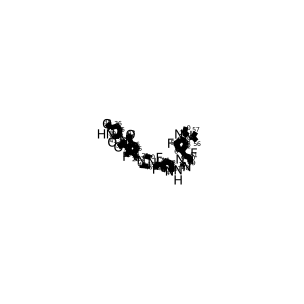 Cc1nc2c(F)cc(-c3nc(Nc4ccc(C(F)(F)N5CCN(Cc6ccc7c(c6F)C(=O)N(C6CCC(=O)NC6=O)C7=O)CC5)cn4)ncc3F)cc2n1C(C)C